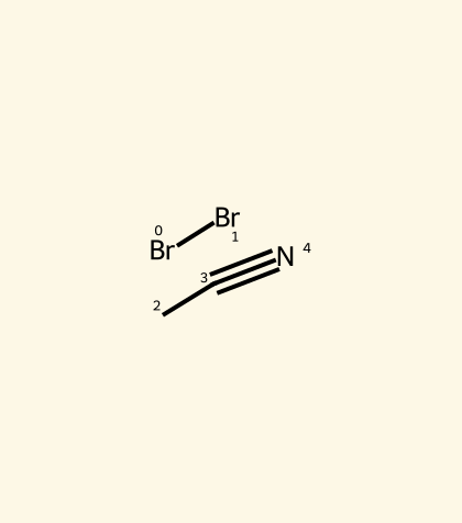 BrBr.CC#N